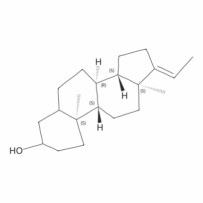 CC=C1CC[C@H]2[C@@H]3CCC4CC(O)CC[C@]4(C)[C@H]3CC[C@]12C